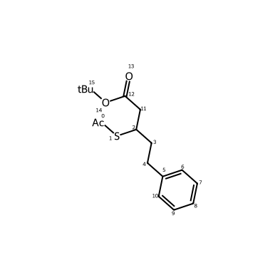 CC(=O)SC(CCc1ccccc1)CC(=O)OC(C)(C)C